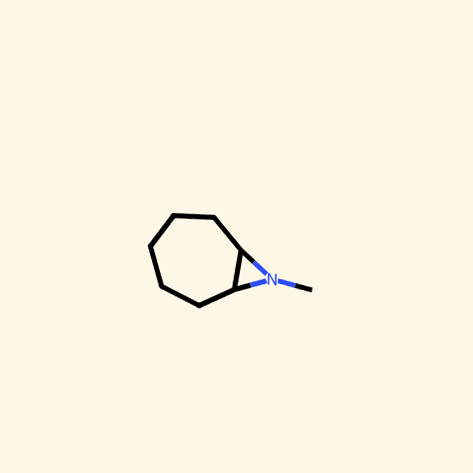 CN1C2CCCCCC21